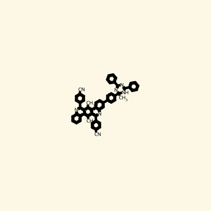 Cc1c2c(-c3ccc(C#N)cc3)nc3cc(-c4ccc(C5(C)N=C(c6ccccc6)N=C(c6ccccc6)N5)cc4)ccc3c2c(C)c2c(-c3ccc(C#N)cc3)nc3ccccc3c12